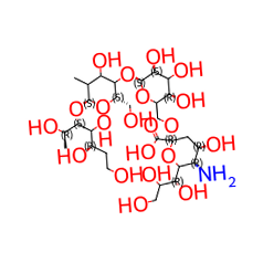 CC1C(O)C(O[C@@H]2OC(CO[C@]3(C(=O)O)C[C@@H](O)[C@@H](N)C([C@H](O)C(O)CO)O3)[C@H](O)C(O)[C@@H]2O)[C@H](CO)O[C@H]1O[C@H](C(O)[C@H](O)CCO)[C@@H](C)O